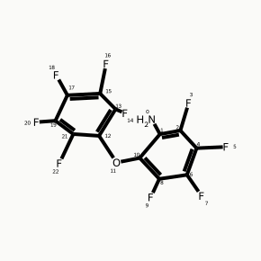 Nc1c(F)c(F)c(F)c(F)c1Oc1c(F)c(F)c(F)c(F)c1F